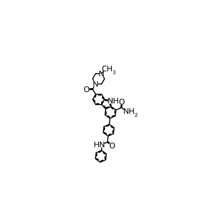 CN1CCN(C(=O)c2ccc3c(c2)[nH]c2c(C(N)=O)cc(-c4ccc(C(=O)Nc5ccccc5)cc4)cc23)CC1